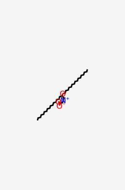 CCCCCCCCCCCCCCCCOC(CCCCCCCCCCCCCCCC)C[N+](C)(C)CC(=O)[O-]